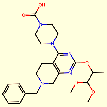 COC(OC)C(C)Oc1nc2c(c(N3CCN(C(=O)O)CC3)n1)CCN(Cc1ccccc1)C2